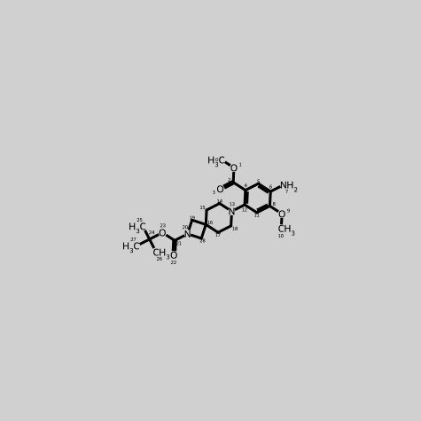 COC(=O)c1cc(N)c(OC)cc1N1CCC2(CC1)CN(C(=O)OC(C)(C)C)C2